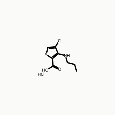 CCCNc1c(Cl)csc1C(=O)O.Cl